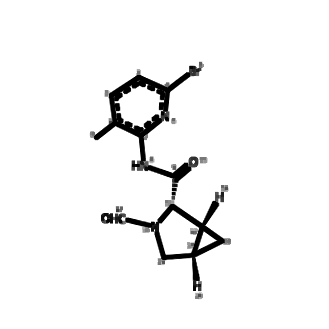 Cc1ccc(Br)nc1NC(=O)[C@@H]1[C@@H]2C[C@@H]2CN1C=O